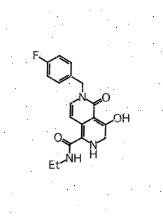 CCNC(=O)C1=c2ccn(Cc3ccc(F)cc3)c(=O)c2=C(O)CN1